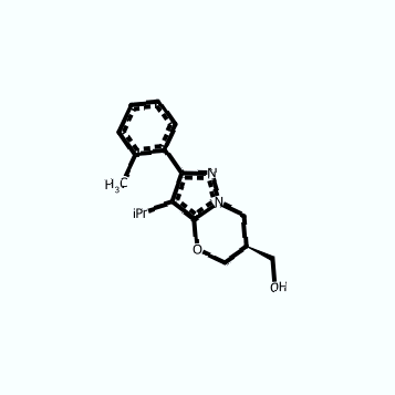 Cc1ccccc1-c1nn2c(c1C(C)C)OC[C@H](CO)C2